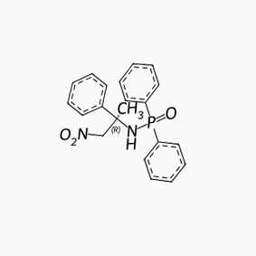 C[C@@](C[N+](=O)[O-])(NP(=O)(c1ccccc1)c1ccccc1)c1ccccc1